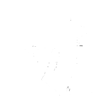 C[C@@]12CCC[C@H]1[C@@H]1CCC3C(C4(COCc5cccc([N+](=O)[O-])c5)C=CC=CC=N4)C(=O)CC[C@]3(C)[C@H]1CC2